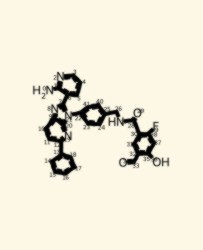 Nc1ncccc1-c1nc2ccc(-c3ccccc3)nc2n1-c1ccc(CNC(=O)c2cc(C=O)c(O)cc2F)cc1